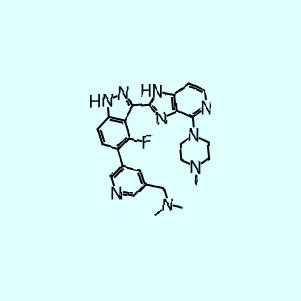 CN(C)Cc1cncc(-c2ccc3[nH]nc(-c4nc5c(N6CCN(C)CC6)nccc5[nH]4)c3c2F)c1